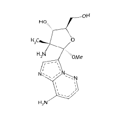 CO[C@@]1(c2cnc3c(N)ccnn23)O[C@H](CO)[C@@H](O)[C@@]1(C)N